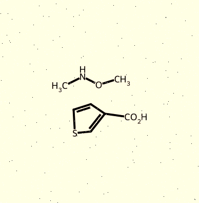 CNOC.O=C(O)c1ccsc1